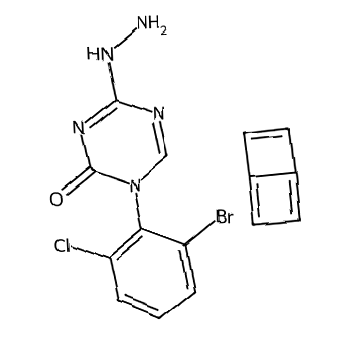 NNc1ncn(-c2c(Cl)cccc2Br)c(=O)n1.c1cc2ccc1-2